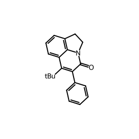 CC(C)(C)c1c(-c2ccccc2)c(=O)n2c3c(cccc13)CC2